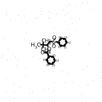 CC(C)(C)C(CS(=O)(=O)c1ccccc1)OC(=O)c1ccccc1